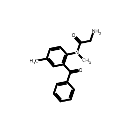 Cc1ccc(N(C)C(=O)CN)c(C(=O)c2ccccc2)c1